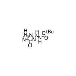 CC(C)(C)OC(=O)NNc1nc(Cl)c2nc[nH]c2n1